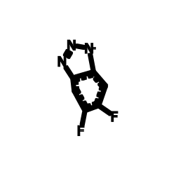 Fc1cc2c(cc1F)N=N[N]2